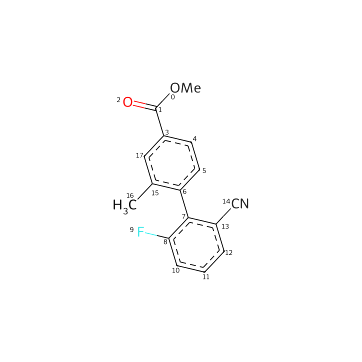 COC(=O)c1ccc(-c2c(F)cccc2C#N)c(C)c1